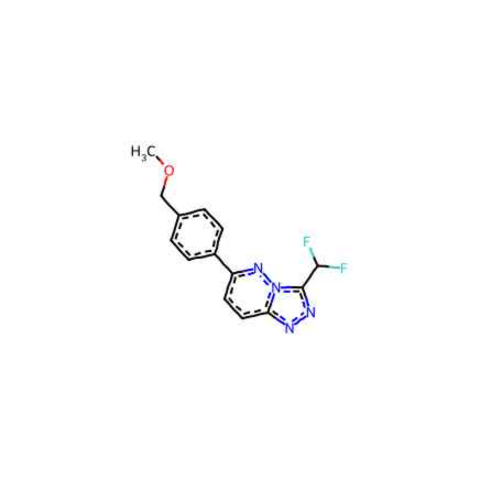 COCc1ccc(-c2ccc3nnc(C(F)F)n3n2)cc1